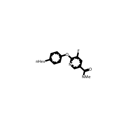 CCCCCCc1ccc(Oc2ncc(C(=O)NC)cc2F)cc1